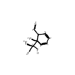 O=CC1C=CC=CC1(F)C(F)(F)F